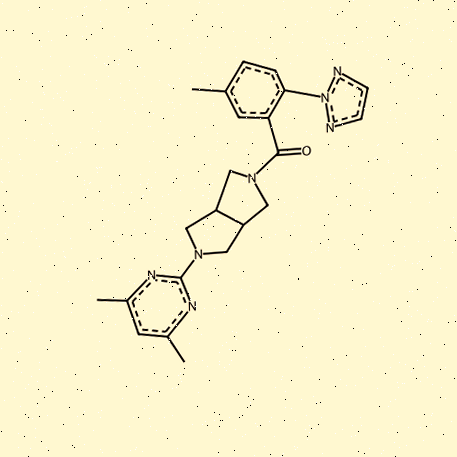 Cc1ccc(-n2nccn2)c(C(=O)N2CC3CN(c4nc(C)cc(C)n4)CC3C2)c1